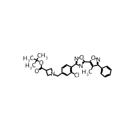 Cc1c(-c2ccccc2)noc1-c1nc(-c2ccc(CN3CC(C(=O)OC(C)(C)C)C3)cc2Cl)no1